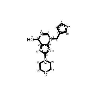 OC1N=CN(Cc2ccsc2)c2nc(N3CCOCC3)sc21